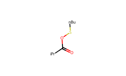 CCCCSOC(=O)C(C)C